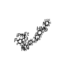 CCN(C(=O)c1cc(F)ccc1Oc1nncnc1N1CC[C@@H](CN2CCC3(CCC(NC(=O)c4ccccn4)CC3)CC2)C1)C(C)C